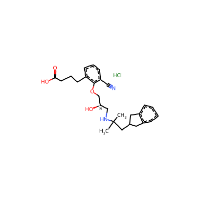 CC(C)(CC1Cc2ccccc2C1)NC[C@@H](O)COc1c(C#N)cccc1CCCC(=O)O.Cl